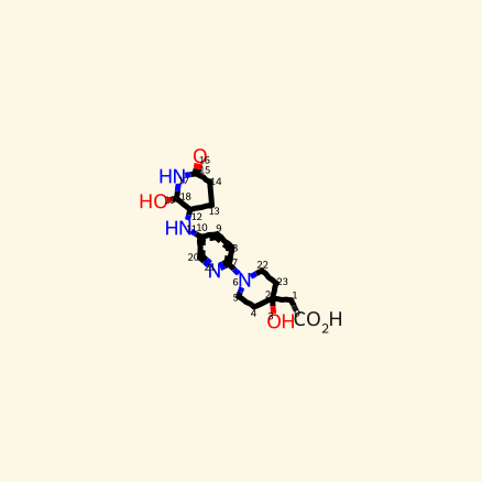 O=C(O)CC1(O)CCN(c2ccc(NC3CCC(=O)NC3O)cn2)CC1